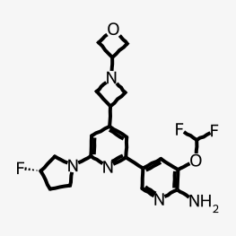 Nc1ncc(-c2cc(C3CN(C4COC4)C3)cc(N3CC[C@H](F)C3)n2)cc1OC(F)F